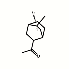 CC(=O)C1CC2CCC1C[C@@H]2C